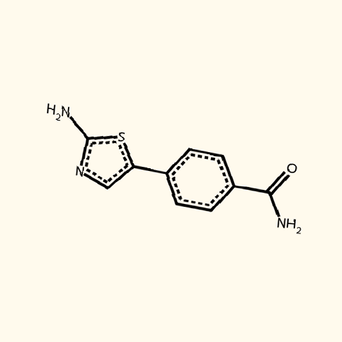 NC(=O)c1ccc(-c2cnc(N)s2)cc1